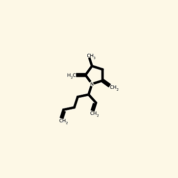 C=CCCC(C=C)N1C(=C)CC(C)C1=C